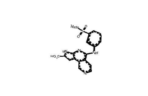 CNS(=O)(=O)c1cccc(Nc2nc3[nH]c(C(=O)O)cc3c3cnccc23)c1